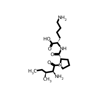 CC[C@H](C)[C@H](N)C(=O)N1CCC[C@H]1C(=O)N[C@@H](CCCCN)C(=O)O